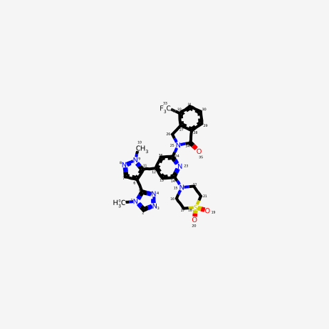 Cn1cnnc1-c1cnn(C)c1-c1cc(N2CCS(=O)(=O)CC2)nc(N2Cc3c(cccc3C(F)(F)F)C2=O)c1